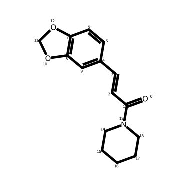 O=C(C=Cc1ccc2c(c1)OCO2)N1CCCCC1